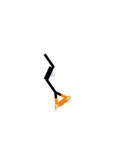 C/C=C/C1P=P1